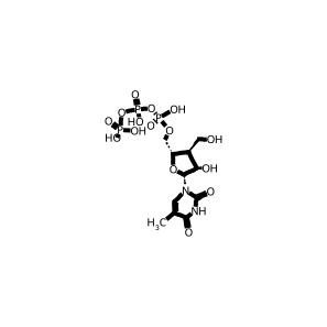 Cc1cn([C@@H]2O[C@H](COP(=O)(O)OP(=O)(O)OP(=O)(O)O)[C@@H](CO)[C@H]2O)c(=O)[nH]c1=O